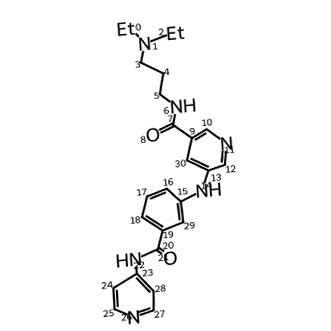 CCN(CC)CCCNC(=O)c1cncc(Nc2cccc(C(=O)Nc3ccncc3)c2)c1